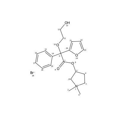 C[N+]1(C)CCC(OC(=O)C(OCCO)(c2ccccc2)c2ccco2)C1.[Br-]